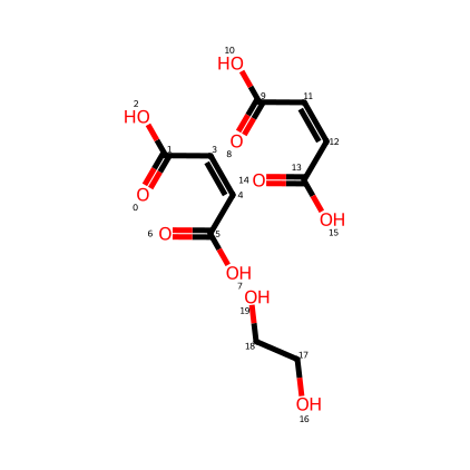 O=C(O)/C=C\C(=O)O.O=C(O)/C=C\C(=O)O.OCCO